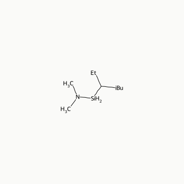 CCC(C)C(CC)[SiH2]N(C)C